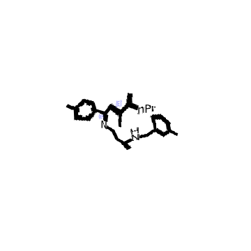 C=C(CC/N=C(\C=C(/C)C(=C)CCC)c1ccc(C)cc1)NCC1=CC(C)=C=C=C1